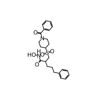 O=C(NO)C(CCCc1ccccc1)CS(=O)(=O)C1CCN(C(=O)c2ccccc2)CC1